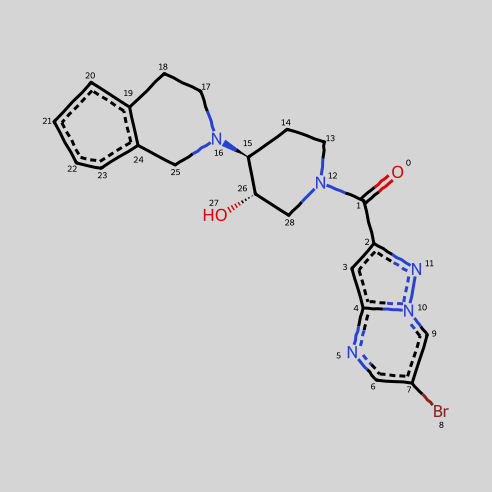 O=C(c1cc2ncc(Br)cn2n1)N1CC[C@H](N2CCc3ccccc3C2)[C@@H](O)C1